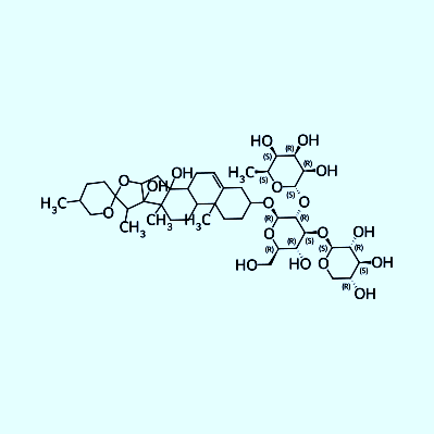 CC1CCC2(OC1)OC1CC3(O)C4CC=C5CC(O[C@@H]6O[C@H](CO)[C@@H](O)[C@H](O[C@@H]7OC[C@@H](O)[C@H](O)[C@H]7O)[C@H]6O[C@@H]6O[C@@H](C)[C@@H](O)[C@@H](O)[C@H]6O)CCC5(C)C4CCC3(C)C1(O)C2C